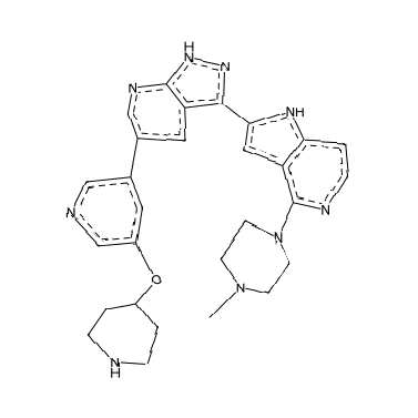 CN1CCN(c2nccc3[nH]c(-c4n[nH]c5ncc(-c6cncc(OC7CCNCC7)c6)cc45)cc23)CC1